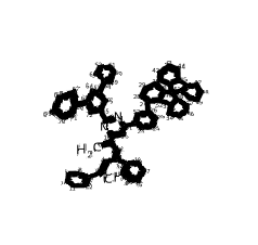 C=C(/C=C(\C=C(/C)c1ccccc1)c1ccccc1)c1cc(-c2cccc(-c3cccc4c3-c3ccccc3C43c4ccccc4-c4ccccc43)c2)nc(-c2cc(-c3ccccc3)cc(-c3ccccc3)c2)n1